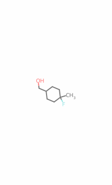 CC1(F)CCC(CO)CC1